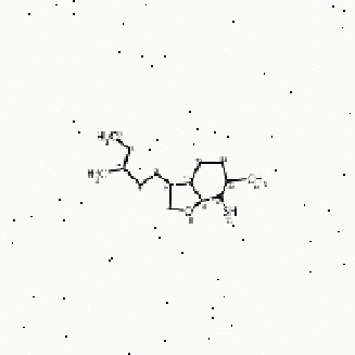 CCC(C)CCC1COC2C(S)C(C)CCC12